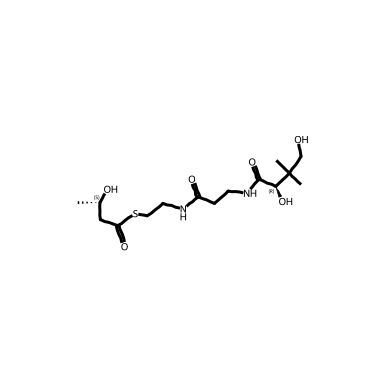 C[C@H](O)CC(=O)SCCNC(=O)CCNC(=O)[C@H](O)C(C)(C)CO